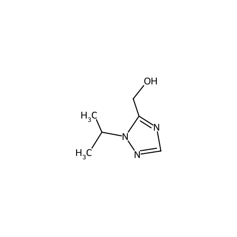 CC(C)n1ncnc1CO